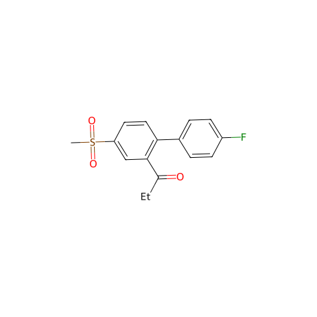 CCC(=O)c1cc(S(C)(=O)=O)ccc1-c1ccc(F)cc1